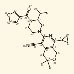 CC(C)C1CN(c2nc(C3CC3)c3c(c2C#N)CC(C)(C)OC3)CCN1C(=O)c1ccoc1